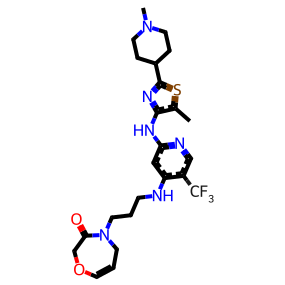 Cc1sc(C2CCN(C)CC2)nc1Nc1cc(NCCCN2CC=COCC2=O)c(C(F)(F)F)cn1